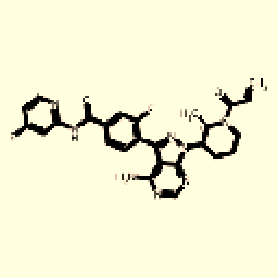 C=CC(=O)N1CCCC(n2nc(-c3ccc(C(=O)Nc4cc(F)ccn4)cc3F)c3c(N)ncnc32)[C@H]1C